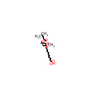 COC1C(OC/C=C/C=C/C=C/C=C/C(=O)O)CC[C@]2(CO2)[C@@H]1C1=C(CC=C(C)C)O1